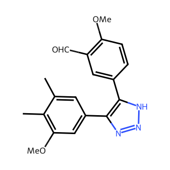 COc1ccc(-c2[nH]nnc2-c2cc(C)c(C)c(OC)c2)cc1C=O